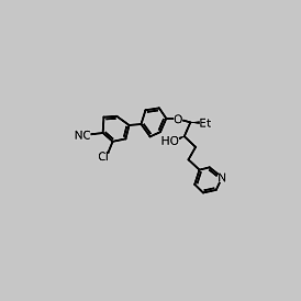 CC[C@H](Oc1ccc(-c2ccc(C#N)c(Cl)c2)cc1)[C@H](O)CCc1cccnc1